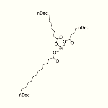 CCCCCCCCCCCCCCCCCCCCCC(=O)OC[C@@H](COC(=O)CCCCCCCCCCCCC)OC(=O)CCCCCCCCCCCCCCCC